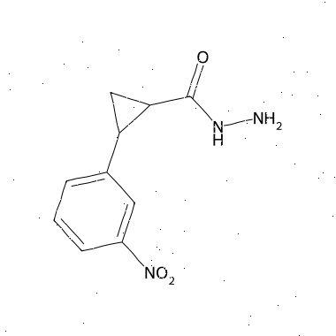 NNC(=O)C1CC1c1cccc([N+](=O)[O-])c1